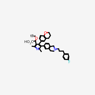 Cc1nc(C)c(C(OC(C)(C)C)C(=O)O)c(-c2ccc3c(c2)CCCO3)c1-c1ccc2c(c1)CCN(CCCc1ccc(F)cc1)C2